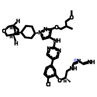 COCC(C)COc1nn([C@H]2CC[C@H](N3[C@@H]4CC[C@H]3COC4)CC2)cc1Nc1ncc(-c2ccc(Cl)c(O[C@@H](C)CN/C=N\C=N)c2)cn1